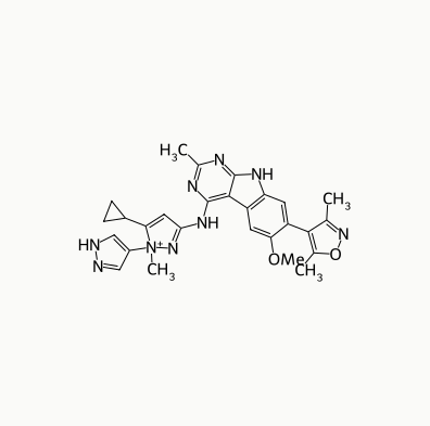 COc1cc2c(cc1-c1c(C)noc1C)[nH]c1nc(C)nc(NC3=N[N+](C)(c4cn[nH]c4)C(C4CC4)=C3)c12